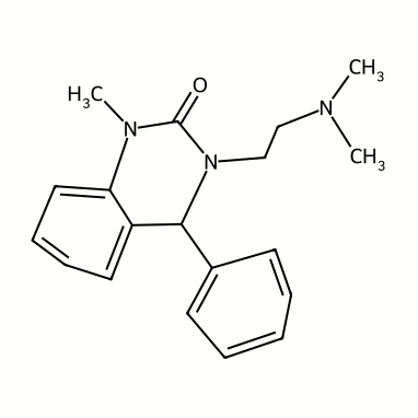 CN(C)CCN1C(=O)N(C)c2ccccc2C1c1ccccc1